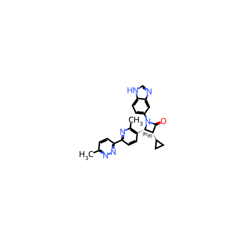 Cc1ccc(-c2ccc([C@H]3[C@@H](C4CC4)C(=O)N3c3ccc4[nH]cnc4c3)c(C)n2)nn1